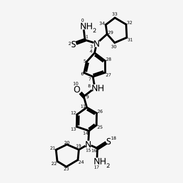 NC(=S)N(c1ccc(NC(=O)c2ccc(N(C(N)=S)C3CCCCC3)cc2)cc1)C1CCCCC1